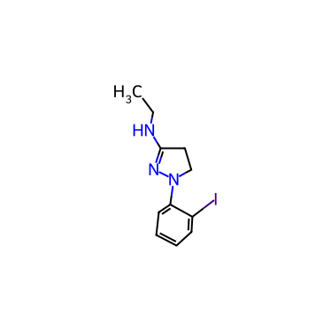 CCNC1=NN(c2ccccc2I)CC1